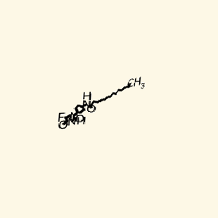 CCCCCCCCCCCCCC(=O)Nc1ccc(-n2cc(F)c(=O)[nH]c2=O)cc1